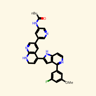 CCCCC(=O)Nc1cncc(-c2cnc3c(c2)C(c2cc4c(-c5cc(F)cc(OC)c5)nccc4[nH]2)=CCN3)c1